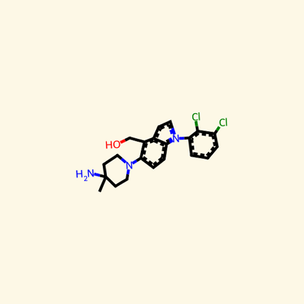 CC1(N)CCN(c2ccc3c(ccn3-c3cccc(Cl)c3Cl)c2CO)CC1